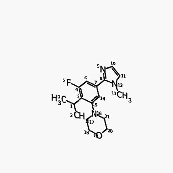 CC(C)c1c(F)cc(-c2nccn2C)cc1N1CCOCC1